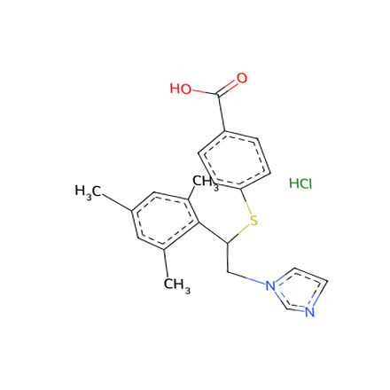 Cc1cc(C)c(C(Cn2ccnc2)Sc2ccc(C(=O)O)cc2)c(C)c1.Cl